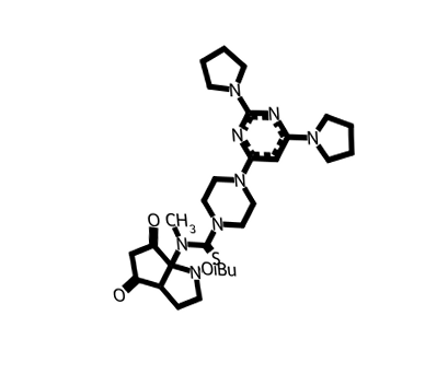 CC(C)CON1CCC2C(=O)CC(=O)C21N(C)C(=S)N1CCN(c2cc(N3CCCC3)nc(N3CCCC3)n2)CC1